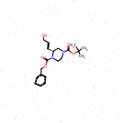 CC(C)(C)OC(=O)N1CCN(C(=O)OCc2ccccc2)[C@@H](C=CCO)C1